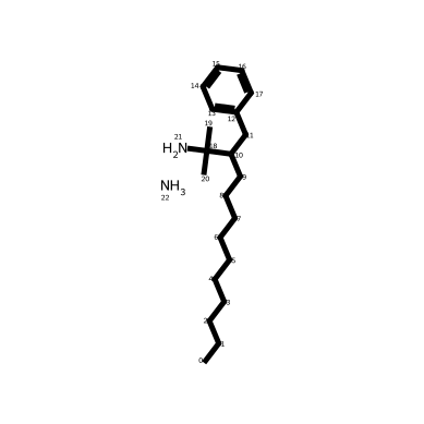 CCCCCCCCCCC(Cc1ccccc1)C(C)(C)N.N